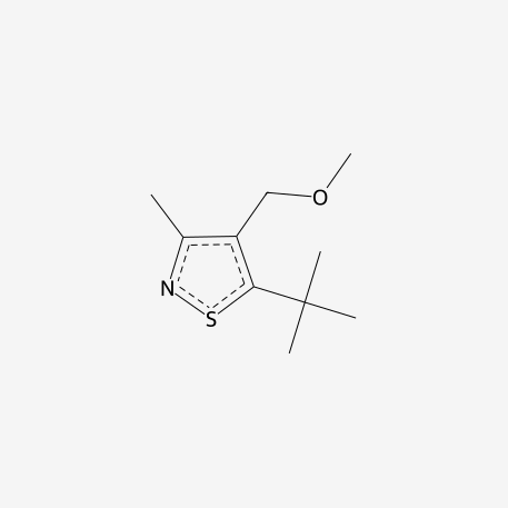 COCc1c(C)nsc1C(C)(C)C